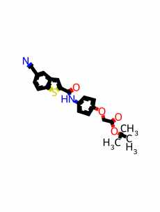 CC(C)(C)OC(=O)COc1ccc(NC(=O)c2cc3cc(C#N)ccc3s2)cc1